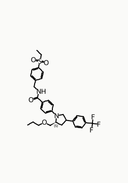 CCCOC[C@@H]1CC(c2ccc(C(F)(F)F)cc2)CN1c1ccc(C(=O)NCc2ccc(S(=O)(=O)CC)cc2)cc1